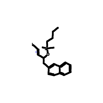 CCCC[Si](C)(C)OC(/C=C/I)Cc1ccc2ccccc2c1